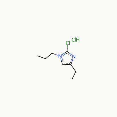 CCCn1cc(CC)nc1Cl.Cl